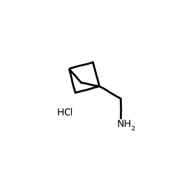 Cl.NCC12CC(C1)C2